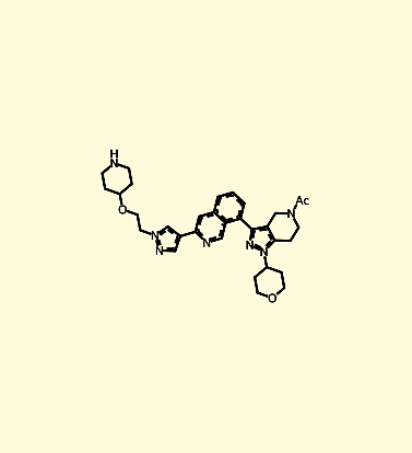 CC(=O)N1CCc2c(c(-c3cccc4cc(-c5cnn(CCOC6CCNCC6)c5)ncc34)nn2C2CCOCC2)C1